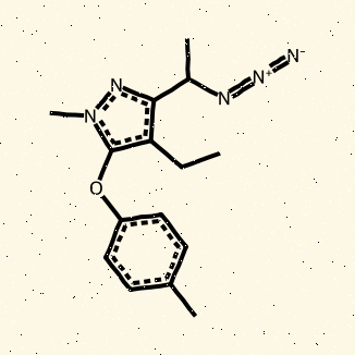 CCc1c(C(C)N=[N+]=[N-])nn(C)c1Oc1ccc(C)cc1